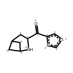 O=C(c1cscn1)C1CC2CC(C2)N1